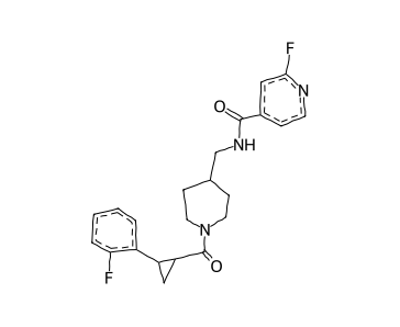 O=C(NCC1CCN(C(=O)C2CC2c2ccccc2F)CC1)c1ccnc(F)c1